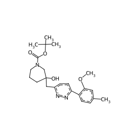 COc1cc(C)ccc1-c1ccc(CC2(O)CCCN(C(=O)OC(C)(C)C)C2)nn1